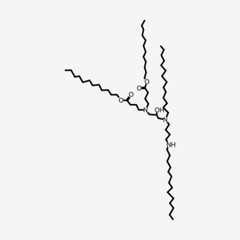 CCCCCCCCCCCCCCNCCCCN(CCCCCCCCCCCCCC)CC(O)CN(CCCC(=O)OCCCCCCCCCCCC)CCCC(=O)OCCCCCCCCCCCC